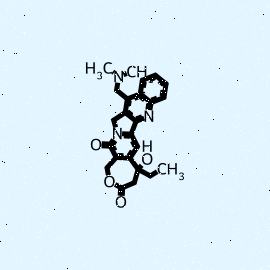 CCC1(O)CC(=O)OCc2c1cc1n(c2=O)Cc2c-1nc1ccccc1c2CN(C)C